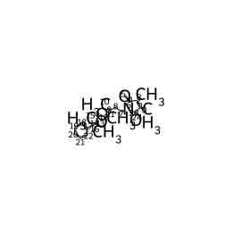 CC1=C(C)C(=O)N(CCC(C)(C)OOC(C)(C)c2ccccc2)C1=O